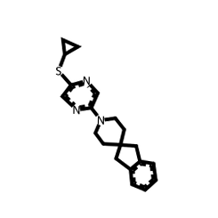 c1ccc2c(c1)CC1(CCN(c3cnc(SC4CC4)cn3)CC1)C2